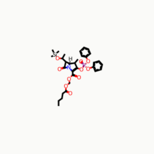 CCCCC(=O)OCOC(=O)C1=C(OP(=O)(Oc2ccccc2)Oc2ccccc2)C(C)[C@@H]2C(C(C)O[Si](C)(C)C)C(=O)N12